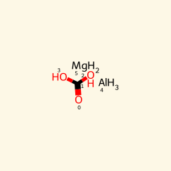 O=C(O)O.[AlH3].[MgH2]